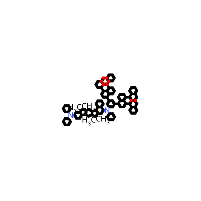 CC1(C)c2cc(N(c3ccccc3)c3ccccc3)ccc2-c2cc3c(cc21)-c1c(cc(N(c2ccccc2)c2cc(-c4ccc(-c5cccc6ccccc56)c5c(-c6cccc7ccccc67)cccc45)cc(-c4ccc(-c5cccc6ccccc56)c5c(-c6cccc7ccccc67)cccc45)c2)c2ccccc12)C3(C)C